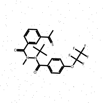 CC(=S)c1cccc(C(=O)N(C)N(C(=O)c2ccc(OC(F)(F)C(F)(F)F)cc2)C(C)(C)C)c1